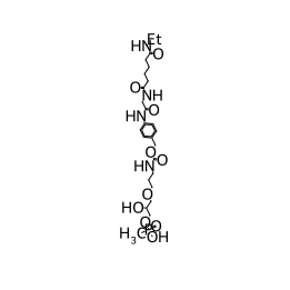 CCNC(=O)CCCCC(=O)NCC(=O)Nc1ccc(COC(=O)NCCCOCC(O)COP(C)(=O)O)cc1